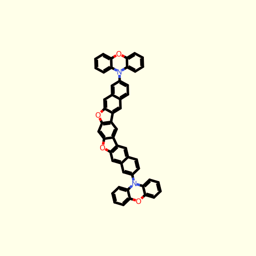 c1ccc2c(c1)Oc1ccccc1N2c1ccc2cc3c(cc2c1)oc1cc2oc4cc5cc(N6c7ccccc7Oc7ccccc76)ccc5cc4c2cc13